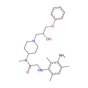 Cc1cc(C)c(NCC(=O)N(C)C2CCN(CC(O)COc3ccccc3)CC2)c(C)c1N